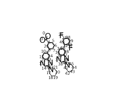 COC(=O)c1cccc(-c2ccc3ncc(N4CCCCC4)nc3c2)c1.Fc1ccc(F)c(-c2ccc3ncc(N4CCCCC4)nc3c2)c1